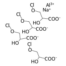 O=C([O-])C(O)COCl.O=C([O-])C(O)COCl.O=C([O-])C(O)COCl.O=C([O-])C(O)COCl.[Al+3].[Na+]